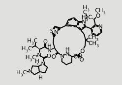 CCn1c(-c2cccnc2[C@H](C)OC)c2c3cc(ccc31)-c1csc(n1)C[C@H](NC(=O)[C@H](C(C)C)N(C)C(=O)N1CC[C@H]3CN(C)C[C@H]31)C(=O)N1CCC[C@@](O)(N1)C(=O)OCC(C)(C)C2